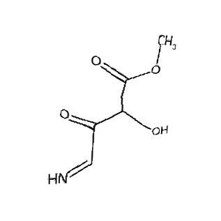 COC(=O)C(O)C(=O)C=N